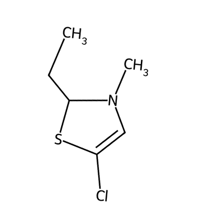 CCC1SC(Cl)=CN1C